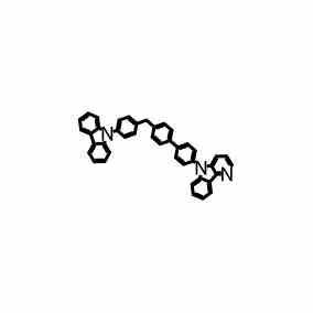 c1ccc2c(c1)c1ccccc1n2-c1ccc(Cc2ccc(-c3ccc(-n4c5ccccc5c5ncccc54)cc3)cc2)cc1